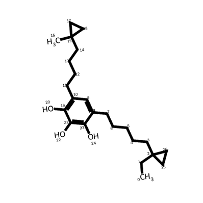 CCC1(CCCCCc2cc(CCCCC3(C)CC3)c(O)c(O)c2O)CC1